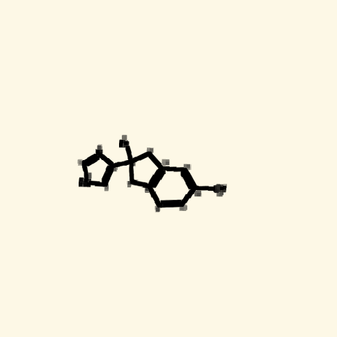 CCC1(c2c[nH]cn2)Cc2ccc(O)cc2C1